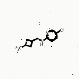 FC(F)(F)C1CC(CNc2ccc(Cl)cn2)C1